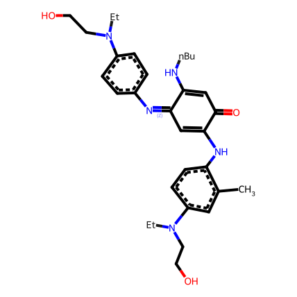 CCCCNC1=CC(=O)C(Nc2ccc(N(CC)CCO)cc2C)=C/C1=N/c1ccc(N(CC)CCO)cc1